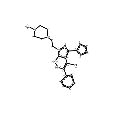 CN1CCN(CCn2nc(-c3nccs3)c3c2NNC(c2ccccc2)=C3Cl)CC1